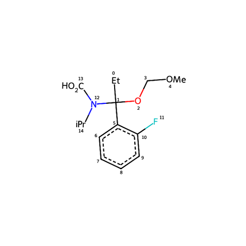 CCC(OCOC)(c1ccccc1F)N(C(=O)O)C(C)C